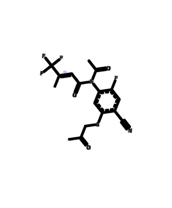 CC(=O)CSc1cc(N(C(C)=O)C(=O)/C=C(\C)C(F)(F)F)c(F)cc1C#N